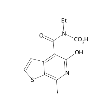 CCN(C(=O)O)C(=O)c1c(O)nc(C)c2sccc12